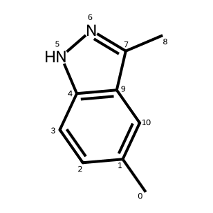 Cc1ccc2[nH]nc(C)c2c1